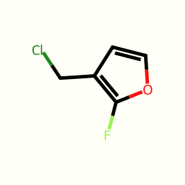 Fc1occc1CCl